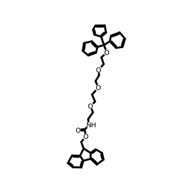 O=C(NCCOCCOCCOCCOC(c1ccccc1)(c1ccccc1)c1ccccc1)OCC1c2ccccc2-c2ccccc21